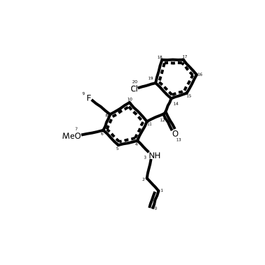 C=CCNc1cc(OC)c(F)cc1C(=O)c1ccccc1Cl